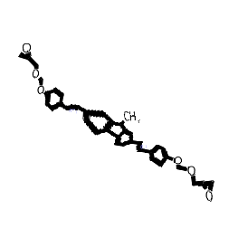 CC1c2cc(/C=C/c3ccc(OCOCC4CO4)cc3)ccc2-c2ccc(/C=C/c3ccc(OCOCC4CO4)cc3)cc21